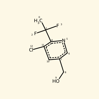 CC(F)(F)c1ncc(CO)cc1Cl